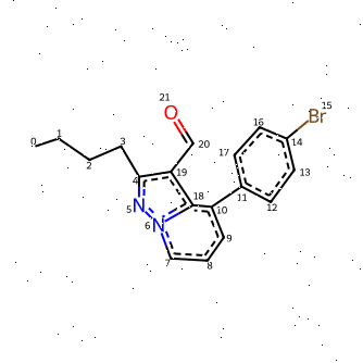 CCCCc1nn2cccc(-c3ccc(Br)cc3)c2c1C=O